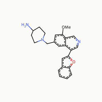 COc1cc(CN2CCC(N)CC2)cc2c(-c3cc4ccccc4o3)cncc12